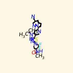 CC(=O)N[C@@H]1CCN(c2nnc(-c3cnc(-c4ccc5cc(C#N)cnn45)cc3NC(C)C)s2)CC1(F)F